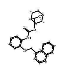 O=C(Nc1ccccc1SCc1cccc2ccccc12)OC1CN2CCC1CC2